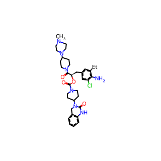 CCc1cc(C[C@@H](OC(=O)N2CCC(N3Cc4ccccc4NC3=O)CC2)C(=O)N2CCC(N3CCN(C)CC3)CC2)cc(Cl)c1N